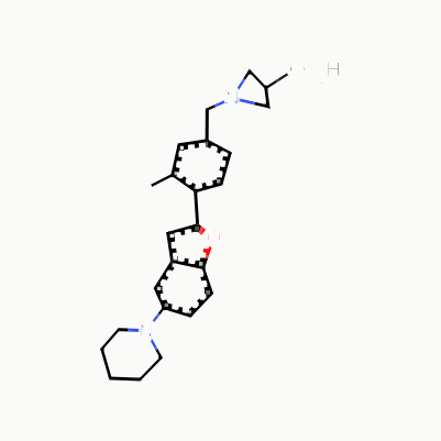 Cc1cc(CN2CC(C(=O)O)C2)ccc1-c1cc2cc(N3CCCCC3)ccc2o1